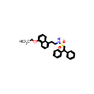 O=C(O)COc1cccc2c(CCNS(=O)(=O)C=C(c3ccccc3)c3ccccc3)cccc12